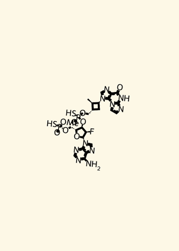 COP(=O)(S)OC[C@H]1O[C@@H](n2cnc3c(N)ncnc32)[C@H](F)[C@@H]1OP(=O)(S)OC[C@H]1C[C@@H](n2cnc3c(=O)[nH]c4nccn4c32)[C@@H]1C